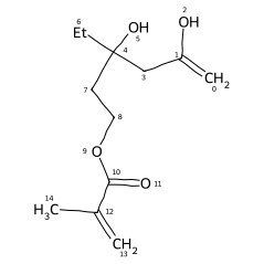 C=C(O)CC(O)(CC)CCOC(=O)C(=C)C